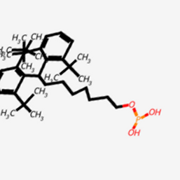 CC(C)(C)c1cccc(C(C)(C)C)c1C(CCCCCCCOP(O)O)c1c(C(C)(C)C)cccc1C(C)(C)C